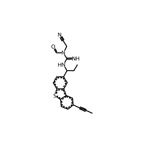 CC#Cc1ccc2sc3ccc(C(CC)NC(=N)N(C=O)CC#N)cc3c2c1